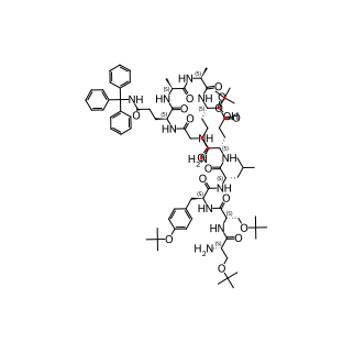 CC(C)C[C@H](NC(=O)[C@H](Cc1ccc(OC(C)(C)C)cc1)NC(=O)[C@H](COC(C)(C)C)NC(=O)[C@@H](N)COC(C)(C)C)C(=O)N[C@@H](CCC(=O)OC(C)(C)C)C(=O)NCC(=O)N[C@@H](CCC(=O)NC(c1ccccc1)(c1ccccc1)c1ccccc1)C(=O)N[C@@H](C)C(=O)N[C@@H](C)C(=O)N[C@@H](CCCCN)C(=O)O